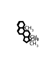 C[C@]12CCC=CC1=CCC1C2CC[C@@]2(C)C1CC[C@]2(C)O